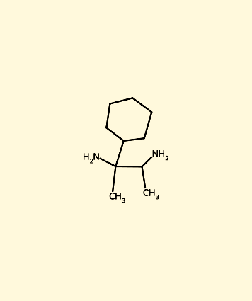 CC(N)C(C)(N)C1CCCCC1